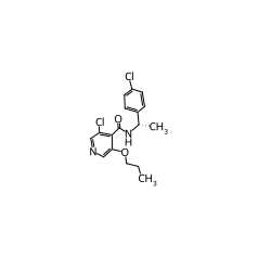 CCCOc1cncc(Cl)c1C(=O)N[C@@H](C)c1ccc(Cl)cc1